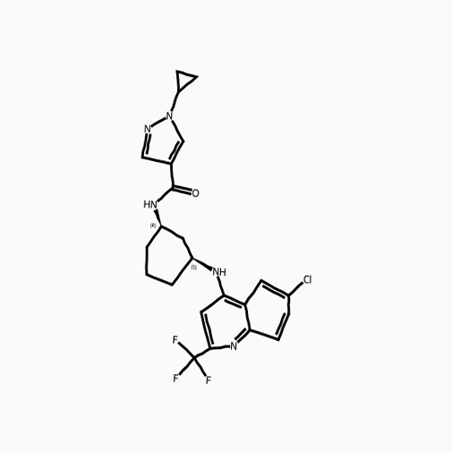 O=C(N[C@@H]1CCC[C@H](Nc2cc(C(F)(F)F)nc3ccc(Cl)cc23)C1)c1cnn(C2CC2)c1